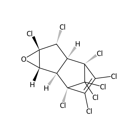 ClC1=C(Cl)[C@]2(Cl)[C@H]3[C@H]([C@@H]4O[C@]4(Cl)[C@@H]3Cl)[C@@]1(Cl)C2(Cl)Cl